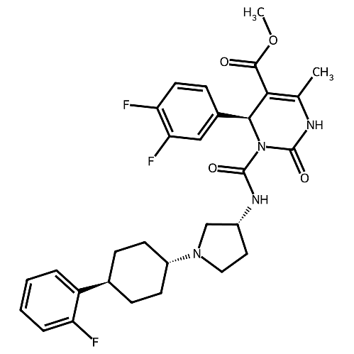 COC(=O)C1=C(C)NC(=O)N(C(=O)N[C@@H]2CCN([C@H]3CC[C@H](c4ccccc4F)CC3)C2)[C@H]1c1ccc(F)c(F)c1